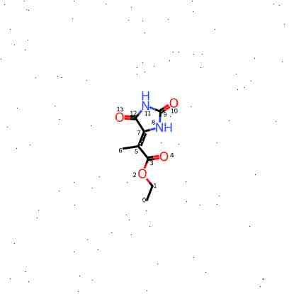 CCOC(=O)C(C)=C1NC(=O)NC1=O